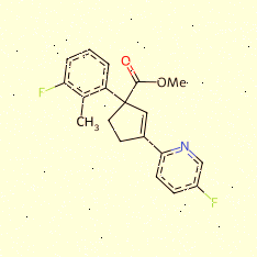 COC(=O)C1(c2cccc(F)c2C)C=C(c2ccc(F)cn2)CC1